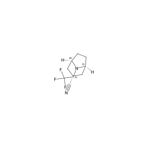 N#C[C@@H]1C[C@H]2CC[C@@H](C1)N2CC(F)(F)F